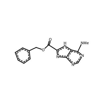 CNc1ncnc2nc(C(=O)OCc3ccccc3)[nH]c12